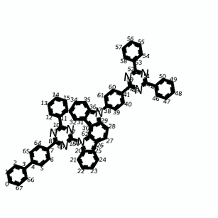 c1ccc(-c2ccc(-c3nc(-c4ccccc4)nc(-n4c5ccccc5c5ccc6c(c7ccccc7n6-c6ccc(-c7nc(-c8ccccc8)nc(-c8ccccc8)n7)cc6)c54)n3)cc2)cc1